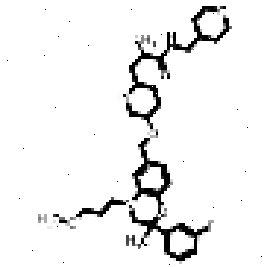 COCCCN1CC(C)(c2cccc(F)c2)Oc2ccc(CO[C@@H]3CCC(C[C@@H](C)C(=O)NCC4CCOCC4)NC3)cc21